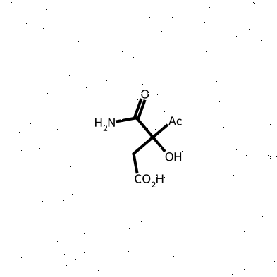 CC(=O)C(O)(CC(=O)O)C(N)=O